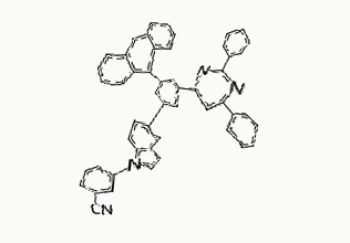 N#Cc1cccc(-n2ccc3cc(-c4cc(-c5cc(-c6ccccc6)nc(-c6ccccc6)n5)cc(-c5c6ccccc6cc6ccccc56)c4)ccc32)c1